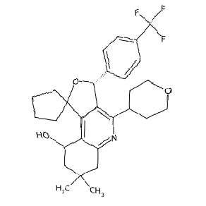 CC1(C)Cc2nc(C3CCOCC3)c3c(c2C(O)C1)C1(CCCC1)O[C@@H]3c1ccc(C(F)(F)F)cc1